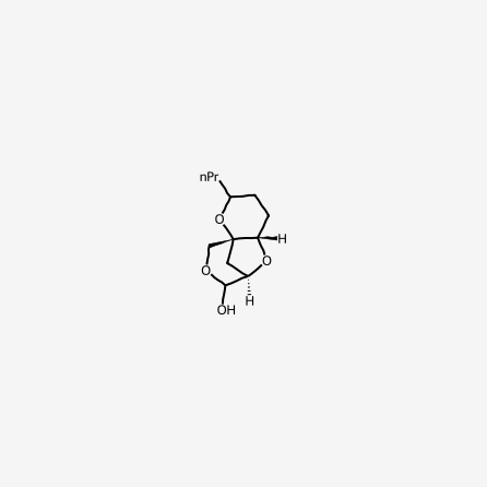 CCCC1CC[C@@H]2O[C@@H]3C[C@]2(COC3O)O1